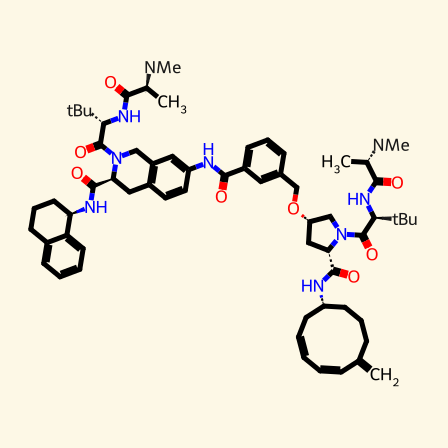 C=C1/C=C\C=C/C[C@H](NC(=O)[C@@H]2C[C@H](OCc3cccc(C(=O)Nc4ccc5c(c4)CN(C(=O)[C@@H](NC(=O)[C@H](C)NC)C(C)(C)C)[C@H](C(=O)N[C@@H]4CCCc6ccccc64)C5)c3)CN2C(=O)[C@@H](NC(=O)[C@H](C)NC)C(C)(C)C)CCC1